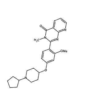 COc1cc(OC2CCN(C3CCCC3)CC2)ccc1-c1nc2ncccc2c(=O)n1C